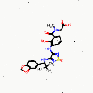 CN(CC(=O)O)C(=O)c1cccc(Nc2n[s+]([O-])nc2N[C@@H](c2ccc3c(c2)OCO3)C(C)(C)C)c1O